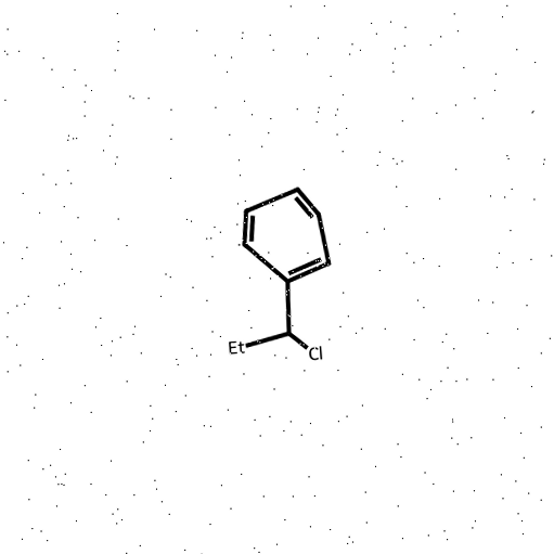 CCC(Cl)c1[c]cccc1